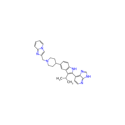 CC(C)c1c(-c2ccnc3[nH]cnc23)[nH]c2ccc(C3CCN(Cc4cn5ccccc5n4)CC3)cc12